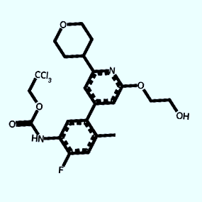 Cc1cc(F)c(NC(=O)OCC(Cl)(Cl)Cl)cc1-c1cc(OCCO)nc(C2CCOCC2)c1